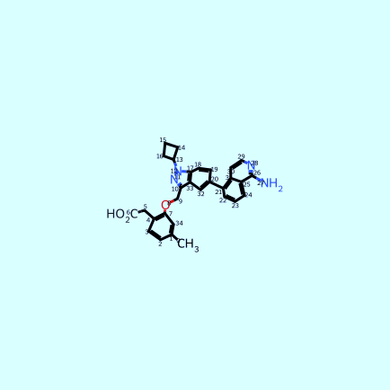 Cc1ccc(CC(=O)O)c(OCc2nn(C3CCC3)c3ccc(-c4cccc5c(N)nccc45)cc23)c1